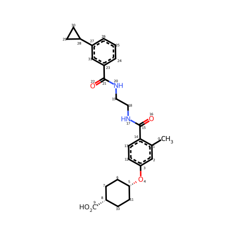 Cc1cc(O[C@H]2CC[C@@H](C(=O)O)CC2)ccc1C(=O)NCCNC(=O)c1cccc(C2CC2)c1